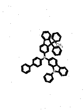 CC1(C2(c3ccccc3)c3ccccc3-c3ccc(N(c4ccc(-c5ccccc5)cc4)c4ccc5c6ccccc6n(-c6ccccc6)c5c4)cc32)C=CC=CC1